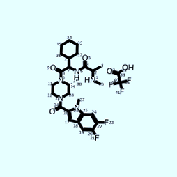 CNC(C)C(=O)NC(C(=O)N1CCN(C(=O)c2cc3cc(F)c(F)cc3n2C)C[C@H]1C)C1CCCCC1.O=C(O)C(F)(F)F